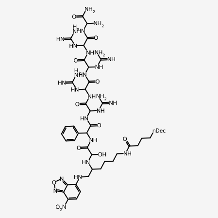 CCCCCCCCCCCCCC(=O)NCCCCC(CNc1ccc([N+](=O)[O-])c2nonc12)NC(O)C(=O)NC(C(=O)NC(NC(=N)N)C(=O)NC(NC(=N)N)C(=O)NC(NC(=N)N)C(=O)NC(NC(=N)N)C(=O)NC(N)C(N)=O)c1ccccc1